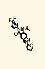 CC(C)Oc1cc2nn(C3CCCCO3)cc2cc1C(=O)Nc1ccn(C(F)F)n1